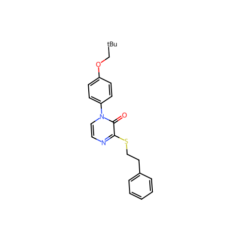 CC(C)(C)COc1ccc(-n2ccnc(SCCc3ccccc3)c2=O)cc1